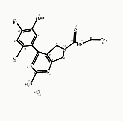 COc1cc(-c2nc(N)nc3c2CN(C(=O)NCC(F)(F)F)C3)c(Cl)cc1Br.Cl